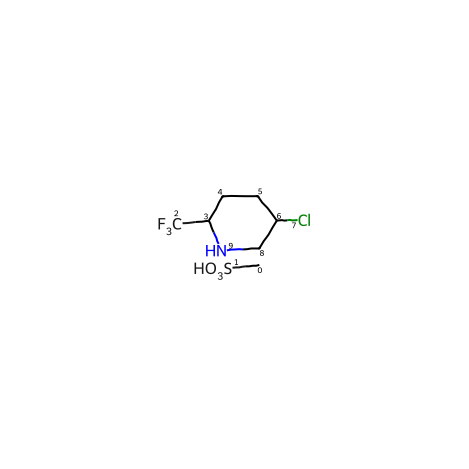 CS(=O)(=O)O.FC(F)(F)C1CCC(Cl)CN1